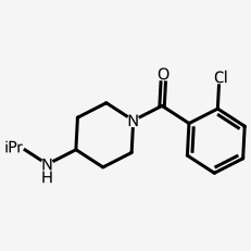 CC(C)NC1CCN(C(=O)c2ccccc2Cl)CC1